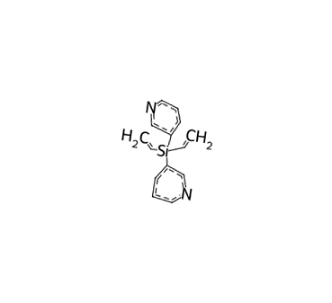 C=C[Si](C=C)(c1cccnc1)c1cccnc1